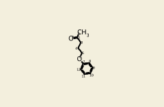 CC(=O)CCCOc1ccccc1